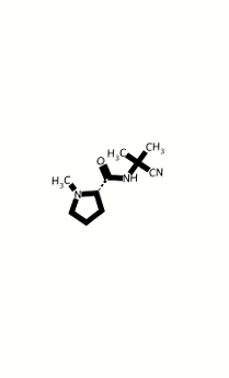 CN1CCC[C@H]1C(=O)NC(C)(C)C#N